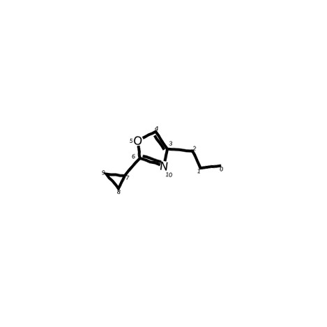 CCCc1coc(C2CC2)n1